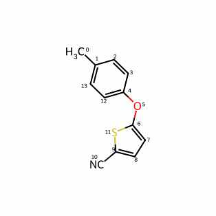 Cc1ccc(Oc2ccc(C#N)s2)cc1